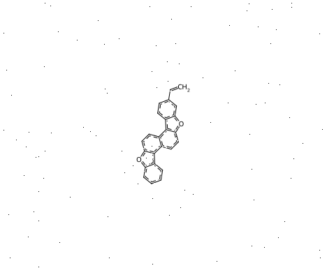 C=Cc1ccc2c(c1)oc1ccc3c(ccc4oc5ccccc5c43)c12